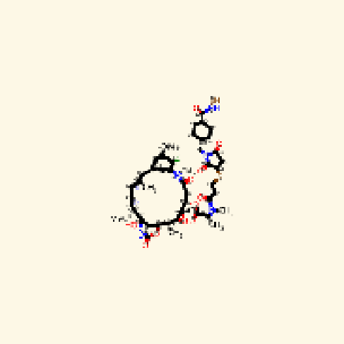 COc1cc2cc(c1Cl)N(C)C(=O)C[C@H](OC(=O)[C@H](C)N(C)C(=O)CCSC1CC(=O)N(C[C@H]3CC[C@H](C(=O)NS)CC3)C1=O)[C@]1(C)OC1[C@H](C)[C@@H]1C[C@@](O)(NC(=O)O1)[C@H](OC)/C=C/C=C(\C)C2